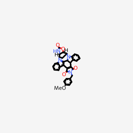 COc1ccc(CN2C(=O)C3=C(C2=O)C2c4ccccc4N4C2c2c3c3ccccc3n2C2CC4[C@H]3OC(=O)N[C@@H]23)cc1